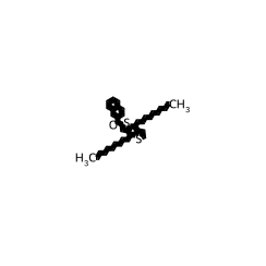 CCCCCCCCCCc1c2cc(C(=O)c3ccc4ccccc4c3)sc2c(CCCCCCCCCC)c2ccsc12